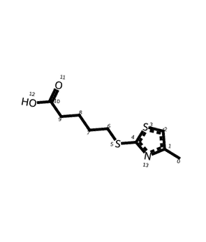 Cc1[c]sc(SCCCCC(=O)O)n1